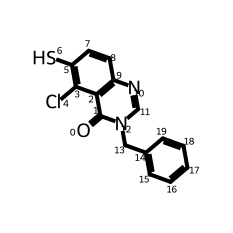 O=c1c2c(Cl)c(S)ccc2ncn1Cc1ccccc1